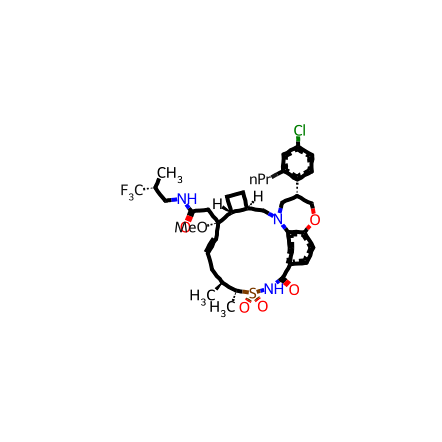 CCCc1cc(Cl)ccc1[C@@H]1COc2ccc3cc2N(C1)C[C@@H]1CC[C@H]1[C@@](CC(=O)NC[C@@H](C)C(F)(F)F)(OC)/C=C/C[C@H](C)[C@@H](C)S(=O)(=O)NC3=O